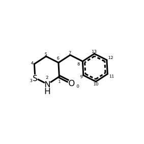 O=C1NSCCC1Cc1ccccc1